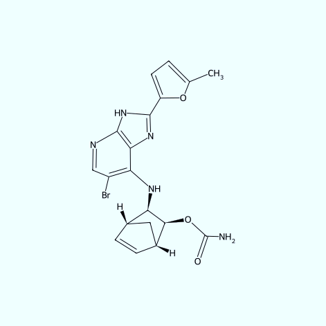 Cc1ccc(-c2nc3c(N[C@H]4[C@@H](OC(N)=O)[C@@H]5C=C[C@H]4C5)c(Br)cnc3[nH]2)o1